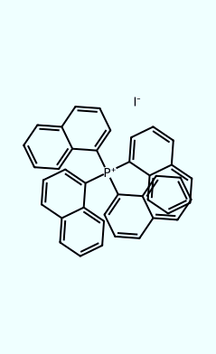 [I-].c1ccc2c([P+](c3cccc4ccccc34)(c3cccc4ccccc34)c3cccc4ccccc34)cccc2c1